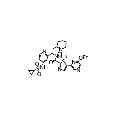 CCOc1cncc(-c2cnc(C(=O)N[C@@H](CC3CCCCN3C)c3cc(NS(=O)(=O)C4CC4)ccn3)s2)n1